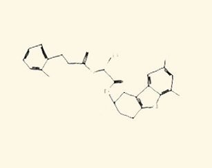 CCC(C)[C@H](NC(=O)CCc1ccccc1F)C(=O)N[C@]1(C(=O)O)CCc2[nH]c3c(Cl)cc(Cl)cc3c2C1